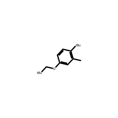 Cc1cc(OCC(C)(C)C)ccc1C(C)(C)C